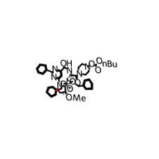 CCCCOC(=O)ON1CCN(C(=O)[C@H](CP(=O)(OCc2ccccc2)OCc2ccccc2)NC(=O)c2cc(N3CC[C@H](OC)C3)nc(-c3ccccc3)n2)CC1